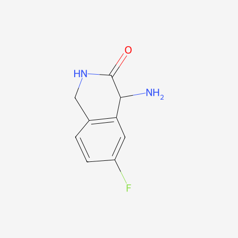 NC1C(=O)NCc2ccc(F)cc21